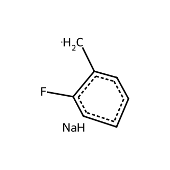 [CH2]c1ccccc1F.[NaH]